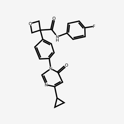 O=C(Nc1ccc(F)cc1)C1(c2ccc(-n3cnc(C4CC4)cc3=O)cc2)COC1